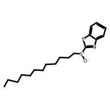 CCCCCCCCCCCC[S+]([O-])c1nc2ccccc2s1